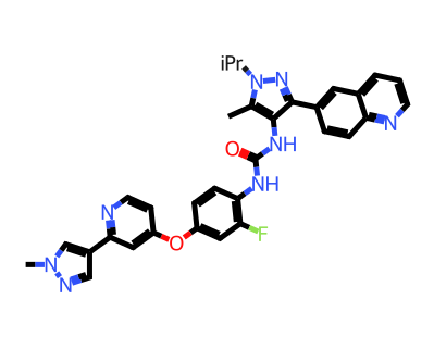 Cc1c(NC(=O)Nc2ccc(Oc3ccnc(-c4cnn(C)c4)c3)cc2F)c(-c2ccc3ncccc3c2)nn1C(C)C